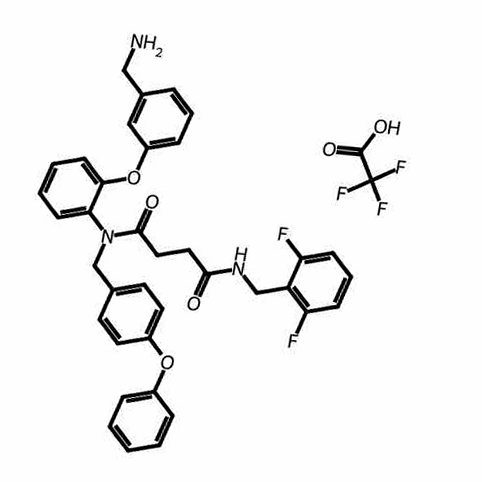 NCc1cccc(Oc2ccccc2N(Cc2ccc(Oc3ccccc3)cc2)C(=O)CCC(=O)NCc2c(F)cccc2F)c1.O=C(O)C(F)(F)F